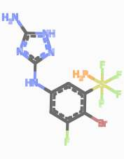 Nc1nc(Nc2cc(F)c(Br)c(S(F)(F)(F)(F)P)c2)n[nH]1